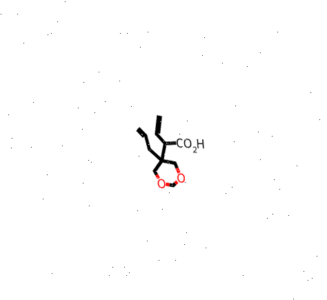 C=CCC1(C(C=C)C(=O)O)COCOC1